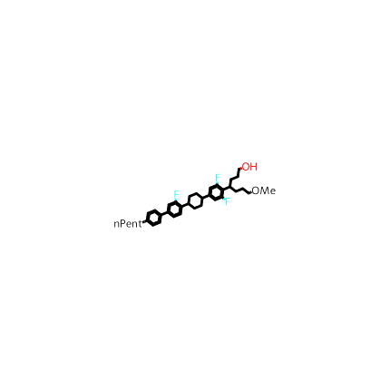 CCCCCc1ccc(-c2ccc(C3CCC(c4cc(F)c(C(CCCO)CCCOC)c(F)c4)CC3)c(F)c2)cc1